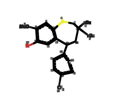 CCCCC1(CCCC)CSc2cc(OC)c(Br)cc2C(c2ccc(C(F)(F)F)cc2)C1